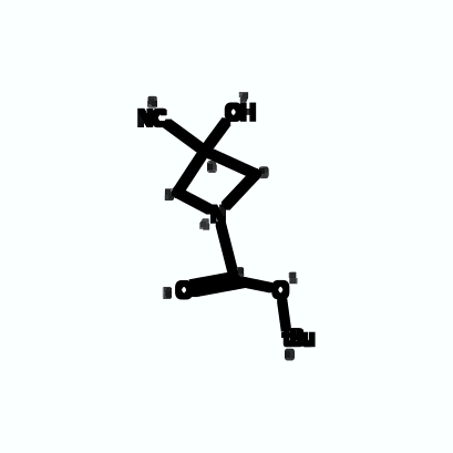 CC(C)(C)OC(=O)N1CC(O)(C#N)C1